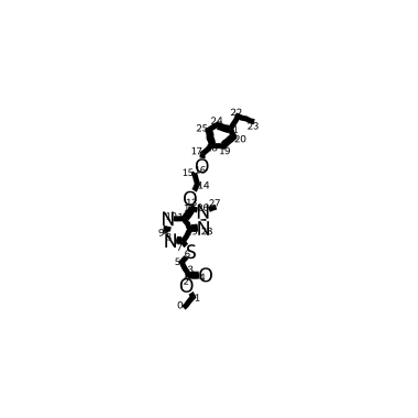 CCOC(=O)CSc1ncnc2c(OCCOCc3ccc(CC)cc3)n(C)nc12